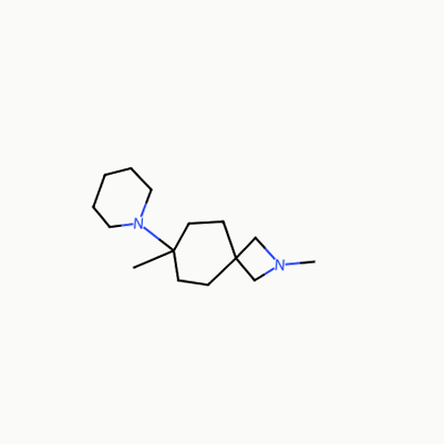 CN1CC2(CCC(C)(N3CCCCC3)CC2)C1